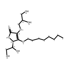 CCCCCCCCOC1=C(OCC(O)CO)C(=O)O[C@@H]1C(O)CO